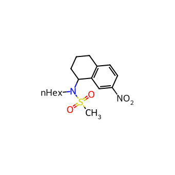 CCCCCCN(C1CCCc2ccc([N+](=O)[O-])cc21)S(C)(=O)=O